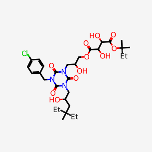 CCC(C)(CC)CC(O)Cn1c(=O)n(Cc2ccc(Cl)cc2)c(=O)n(CC(O)COC(=O)C(O)C(O)C(=O)OC(C)(C)CC)c1=O